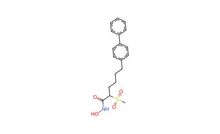 CS(=O)(=O)C(CCCCc1ccc(-c2ccccc2)cc1)C(=O)NO